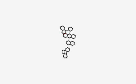 c1ccc(-c2c3ccccc3c(-c3ccc(-c4ccc5c(c4)oc4ccccc45)c4ccccc34)c3ccccc23)c(-c2cccc3ccccc23)c1